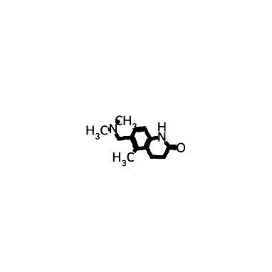 Cc1c(CN(C)C)ccc2c1CCC(=O)N2